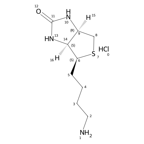 Cl.NCCCC[C@@H]1SC[C@@H]2NC(=O)N[C@@H]21